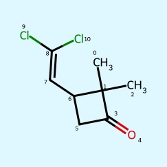 CC1(C)C(=O)CC1C=C(Cl)Cl